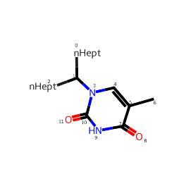 CCCCCCCC(CCCCCCC)n1cc(C)c(=O)[nH]c1=O